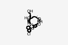 C[C@@H]1[C@@H](C)C/C=C/[C@@](O)(C#CCCO)[C@@H]2CC[C@H]2CN2C[C@@]3(CCCc4cc(Cl)ccc43)COc3ccc(cc32)C(=O)NS1(=O)=O